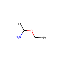 CCCCOC(N)CC